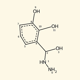 NNC(O)c1cccc(O)c1O